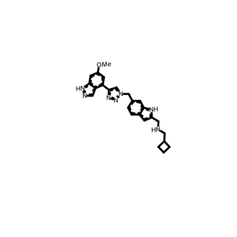 COc1cc(-c2cn(Cc3ccc4cc(CNCC5CCC5)[nH]c4c3)nn2)c2cn[nH]c2c1